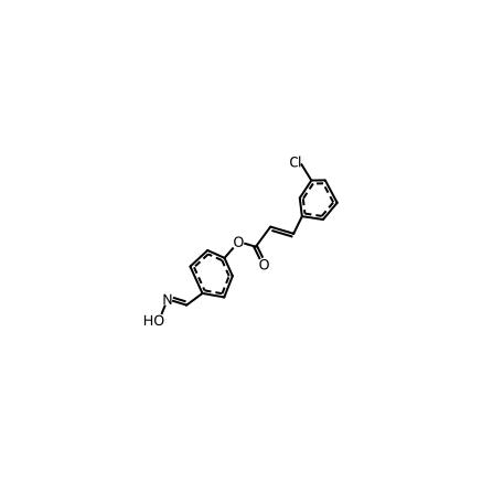 O=C(C=Cc1cccc(Cl)c1)Oc1ccc(/C=N/O)cc1